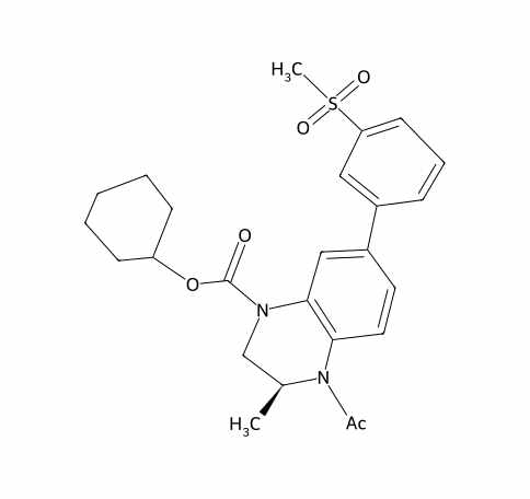 CC(=O)N1c2ccc(-c3cccc(S(C)(=O)=O)c3)cc2N(C(=O)OC2CCCCC2)C[C@@H]1C